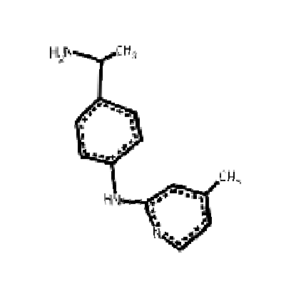 Cc1ccnc(Nc2ccc(C(C)N)cc2)c1